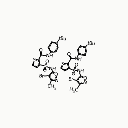 Cc1noc(NS(=O)(=O)c2ccsc2C(=O)Nc2ccc(C(C)(C)C)cc2)c1Br.Cc1noc(NS(=O)(=O)c2ccsc2C(=O)Nc2ccc(C(C)(C)C)cc2)c1Br